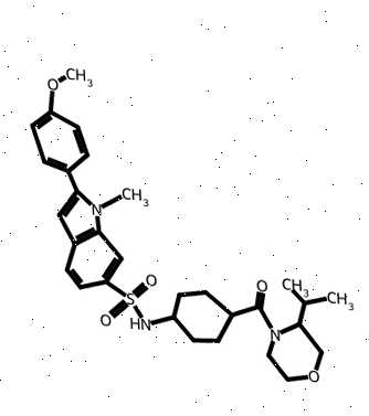 COc1ccc(-c2cc3ccc(S(=O)(=O)NC4CCC(C(=O)N5CCOCC5C(C)C)CC4)cc3n2C)cc1